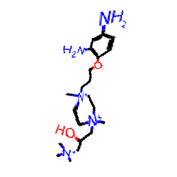 C[N+](C)(C)CC(O)C[N+]1(C)CC[N+](C)(CCCOc2ccc(N)cc2N)CC1